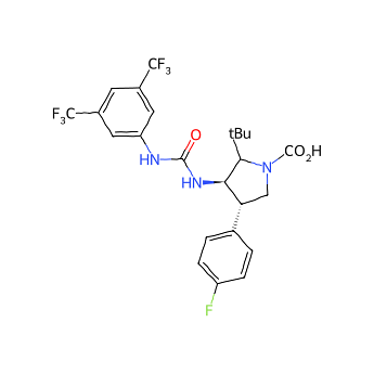 CC(C)(C)C1[C@H](NC(=O)Nc2cc(C(F)(F)F)cc(C(F)(F)F)c2)[C@@H](c2ccc(F)cc2)CN1C(=O)O